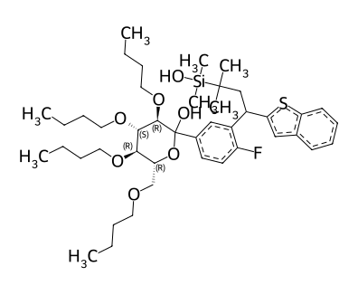 CCCCOC[C@H]1OC(O)(c2ccc(F)c(C(CC(C)(C)[Si](C)(C)O)c3cc4ccccc4s3)c2)[C@H](OCCCC)[C@@H](OCCCC)[C@@H]1OCCCC